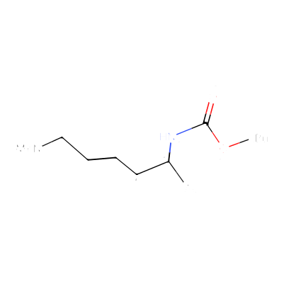 CNCCCCC(NC(=O)OC(C)(C)C)C(C)=O